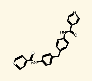 O=C(Nc1ccc(Cc2ccc(NC(=O)c3ccncc3)cc2)cc1)c1ccncc1